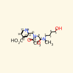 CN(CCCCO)C(=O)CN(Cc1cc(C(=O)O)ccn1)C(=O)C(F)(F)F